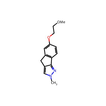 COCCOc1ccc2c(c1)Cc1cn(C)nc1-2